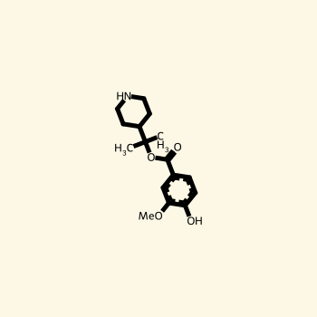 COc1cc(C(=O)OC(C)(C)C2CCNCC2)ccc1O